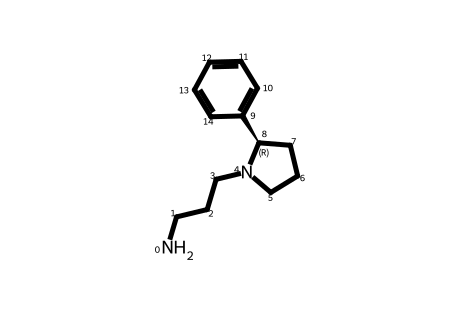 NCCCN1CCC[C@@H]1c1ccccc1